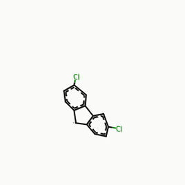 Clc1ccc2c(c1)-c1cc(Cl)ccc1[CH]2